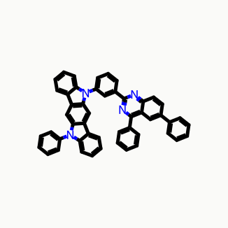 c1ccc(-c2ccc3nc(-c4cccc(-n5c6ccccc6c6cc7c(cc65)c5ccccc5n7-c5ccccc5)c4)nc(-c4ccccc4)c3c2)cc1